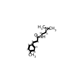 Cc1ccc(/C=C/C(=O)NCCN(C)C)cc1